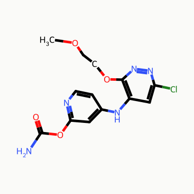 COCCOc1nnc(Cl)cc1Nc1ccnc(OC(N)=O)c1